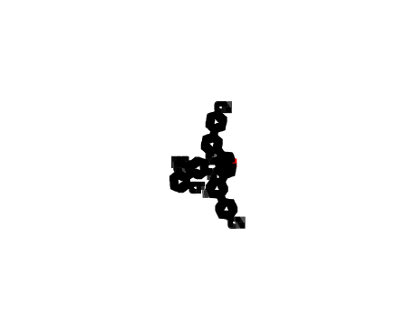 N#Cc1ccc(-c2ccc3c(c2)c2ccccc2n3-c2cc(C#N)c(-c3c(C#N)cccc3C(F)(F)F)cc2-n2c3ccccc3c3cc(-c4ccc(C#N)cc4)ccc32)cc1